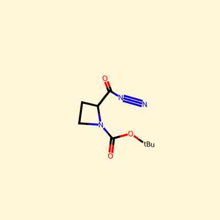 CC(C)(C)OC(=O)N1CCC1C(=O)[N+]#N